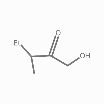 CCC(C)C(=O)CO